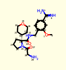 COc1cc(C(=N)N)ccc1CNC(=O)[C@]1(C2CCOCC2)CCCN1C(=O)CN